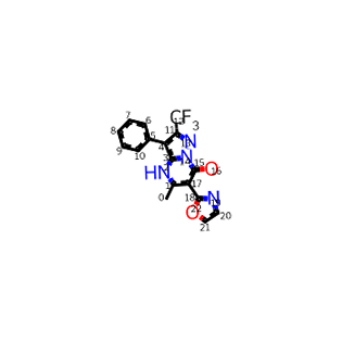 Cc1[nH]c2c(-c3ccccc3)c(C(F)(F)F)nn2c(=O)c1-c1ncco1